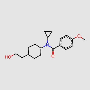 COc1ccc(C(=O)N(C2CCC(CCO)CC2)C2CC2)cc1